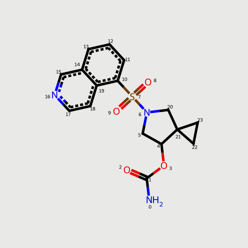 NC(=O)OC1CN(S(=O)(=O)c2cccc3cnccc23)CC12CC2